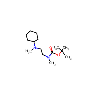 CN(CCN(C)C1CC[CH]CC1)C(=O)OC(C)(C)C